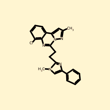 Cc1cc2c3cccc(Cl)c3nc(CCc3nc(-c4ccccc4)cn3C)n2n1